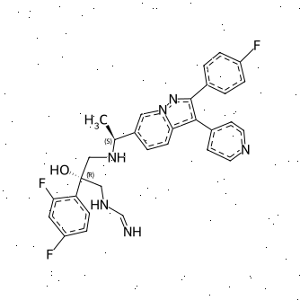 C[C@H](NC[C@@](O)(CNC=N)c1ccc(F)cc1F)c1ccc2c(-c3ccncc3)c(-c3ccc(F)cc3)nn2c1